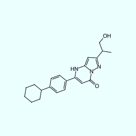 CC(CO)c1cc2[nH]c(-c3ccc(C4CCCCC4)cc3)cc(=O)n2n1